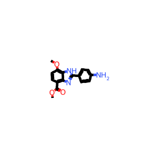 COC(=O)c1ccc(OC)c2[nH]c(-c3ccc(N)cc3)nc12